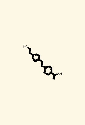 C=C(S)c1ccc(CCc2ccc(CCS)cc2)cc1